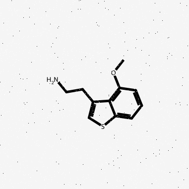 COc1cccc2scc(CCN)c12